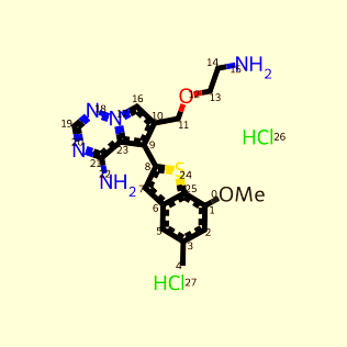 COc1cc(C)cc2cc(-c3c(COCCN)cn4ncnc(N)c34)sc12.Cl.Cl